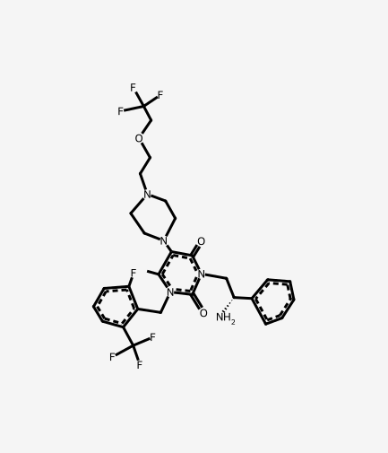 Cc1c(N2CCN(CCOCC(F)(F)F)CC2)c(=O)n(C[C@@H](N)c2ccccc2)c(=O)n1Cc1c(F)cccc1C(F)(F)F